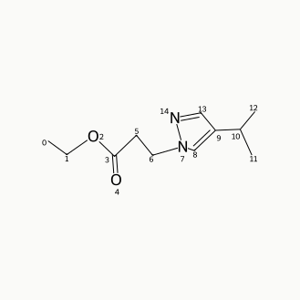 CCOC(=O)CCn1cc(C(C)C)cn1